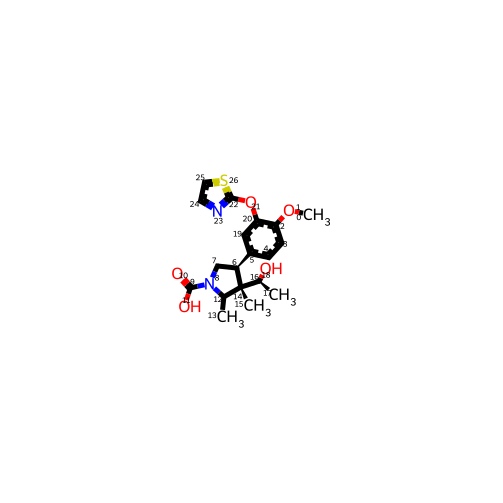 COc1ccc([C@@H]2CN(C(=O)O)C(C)[C@@]2(C)[C@H](C)O)cc1Oc1nccs1